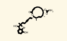 C[C@@H]1/C=C/[C@@H](C)[C@H](/C=C/C#C/C=C/C(C)(C)C(O)c2cccc(O)c2Br)OC(=O)/C=C\CCC[C@H](OC(N)=O)C1